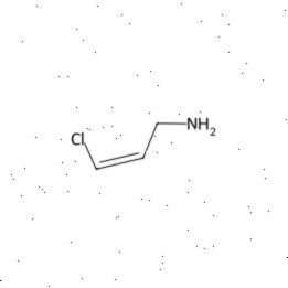 NC/C=C\Cl